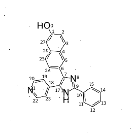 Oc1ccc2cc(-c3nc(-c4ccccc4)[nH]c3-c3ccncc3)ccc2c1